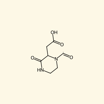 O=[C]N1CCNC(=O)C1CC(=O)O